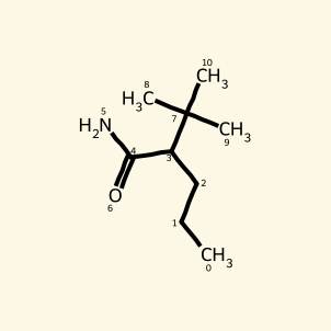 CCCC(C(N)=O)C(C)(C)C